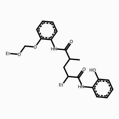 CCOCOc1ccccc1NC(=O)C(C)CC(CC)C(=O)Nc1ccccc1O